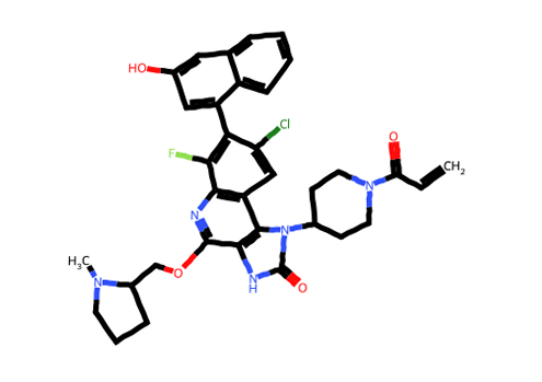 C=CC(=O)N1CCC(n2c(=O)[nH]c3c(OCC4CCCN4C)nc4c(F)c(-c5cc(O)cc6ccccc56)c(Cl)cc4c32)CC1